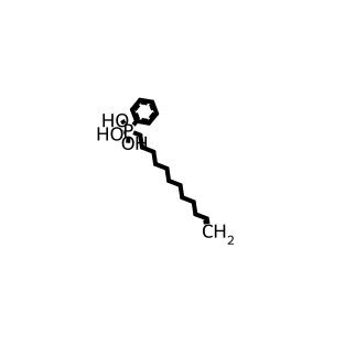 C=CCCCCCCCCCCP(O)(O)(O)c1ccccc1